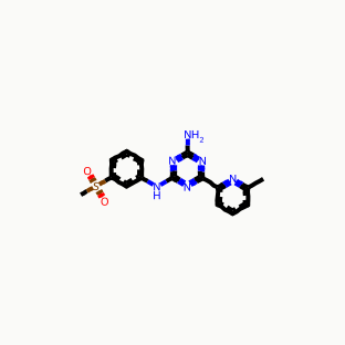 Cc1cccc(-c2nc(N)nc(Nc3cccc(S(C)(=O)=O)c3)n2)n1